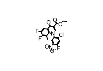 CCOC(=O)c1cn(-c2cc([N+](=O)[O-])c(F)cc2Cl)c2c(C)c(F)c(F)cc2c1=O